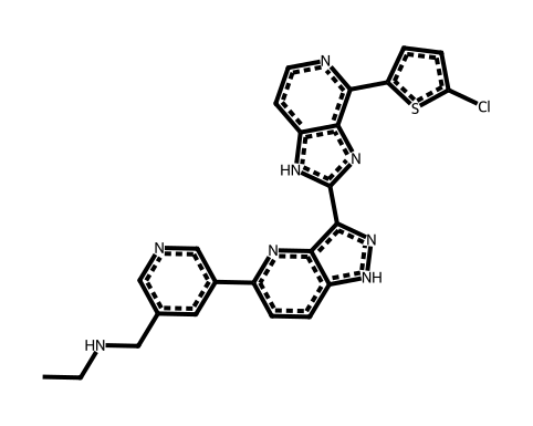 CCNCc1cncc(-c2ccc3[nH]nc(-c4nc5c(-c6ccc(Cl)s6)nccc5[nH]4)c3n2)c1